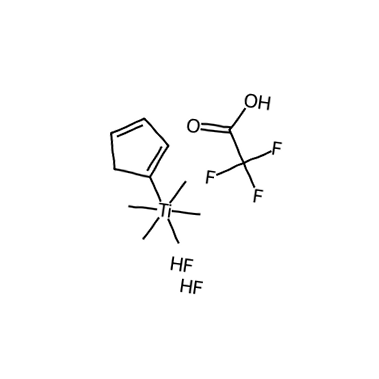 F.F.O=C(O)C(F)(F)F.[CH3][Ti]([CH3])([CH3])([CH3])([CH3])[C]1=CC=CC1